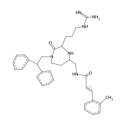 Cc1ccccc1/C=C/C(=O)NCC1CCN(CC(c2ccccc2)c2ccccc2)C(=O)C(CCCNC(=N)N)N1